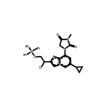 CC(C)[Si](OCC(Cl)c1cn2cc(C3CC3)cc(N3CC(=O)N(C)C3=O)c2n1)(C(C)C)C(C)C